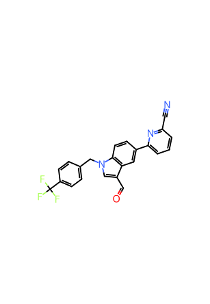 N#Cc1cccc(-c2ccc3c(c2)c(C=O)cn3Cc2ccc(C(F)(F)F)cc2)n1